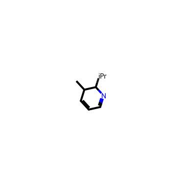 CC(C)C1N=CC=CC1C